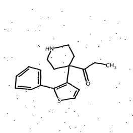 CCC(=O)C1(c2ccsc2-c2ccccc2)CCNCC1